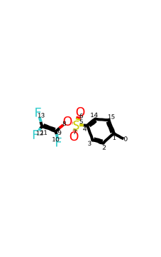 Cc1ccc(S(=O)(=O)OC(F)=C(F)F)cc1